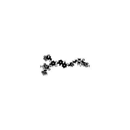 Cc1c(COc2cc(OCc3cncc(S(C)(=O)=O)c3)c(CN[C@@H](CS(=O)(=O)O)C(=O)NCCS(=O)(=O)O)cc2Cl)cccc1-c1cccc(OCc2cn(CCCN3CCN(C(=O)[C@@H](N)CS(=O)(=O)O)CC3)nn2)c1C